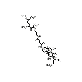 C[C@H](CCC(=O)O)[C@H]1CC[C@H]2[C@@H]3[C@H](O)C[C@@H]4C[C@@H](NC(=O)CCC(=O)NCCCCC(NC(CCN(CC(=O)O)CC(=O)O)C(=O)O)C(=O)O)CC[C@]4(C)[C@H]3C[C@H](O)[C@]12C